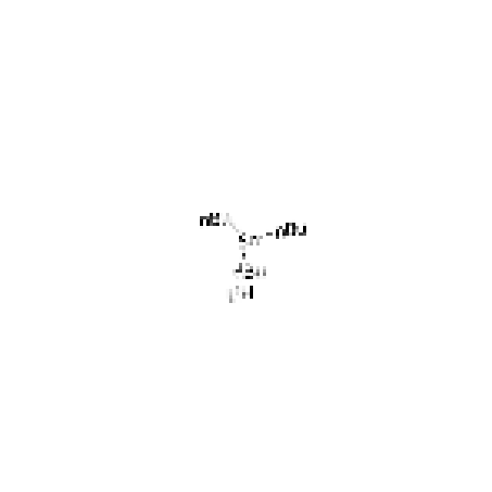 CCC[CH2][Sn]([CH2]CCC)[CH2]CCC.[LiH]